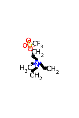 C=CC[N+](C=C)(CC=C)CC=C.O=S(=O)([O-])C(F)(F)F